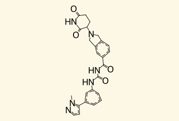 Cn1nccc1-c1cccc(NC(=O)NC(=O)c2ccc3c(c2)CN(C2CCC(=O)NC2=O)C3)c1